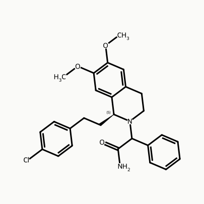 COc1cc2c(cc1OC)[C@H](CCc1ccc(Cl)cc1)N(C(C(N)=O)c1ccccc1)CC2